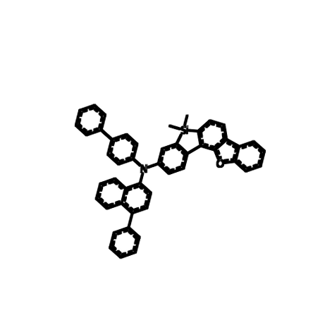 C[Si]1(C)c2cc(N(c3ccc(-c4ccccc4)cc3)c3ccc(-c4ccccc4)c4ccccc34)ccc2-c2c1ccc1c2oc2ccccc21